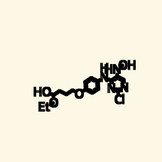 CCOC(O)CCCOc1ccc(Nc2nc(Cl)ncc2NO)cc1